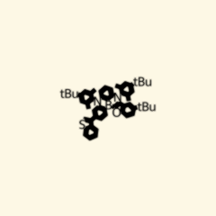 Cc1cc(C(C)(C)C)cc(C)c1N1c2cc(-c3csc4ccccc34)ccc2B2c3oc4ccc(C(C)(C)C)cc4c3N(c3c(C)cc(C(C)(C)C)cc3C)c3cccc1c32